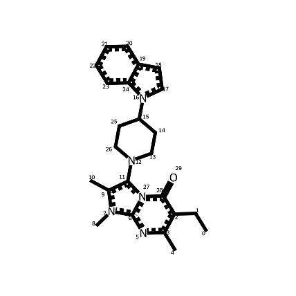 CCc1c(C)nc2n(C)c(C)c(N3CCC(n4ccc5ccccc54)CC3)n2c1=O